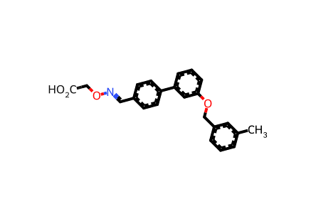 Cc1cccc(COc2cccc(-c3ccc(/C=N/OCC(=O)O)cc3)c2)c1